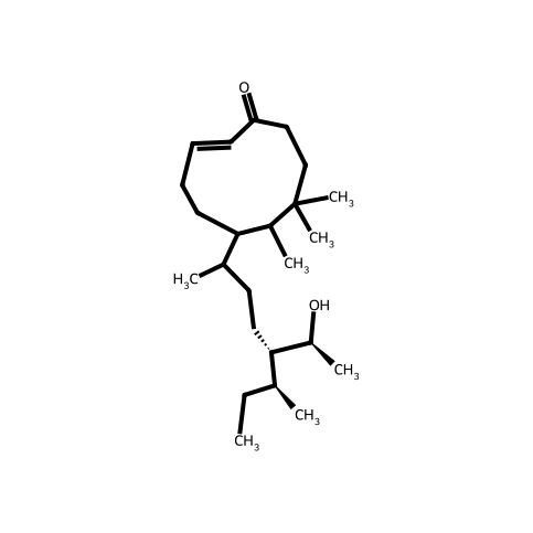 CC[C@H](C)[C@H](CCC(C)C1CC/C=C/C(=O)CCC(C)(C)C1C)[C@H](C)O